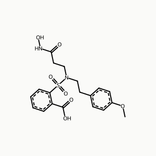 COc1ccc(CCN(CCC(=O)NO)S(=O)(=O)c2ccccc2C(=O)O)cc1